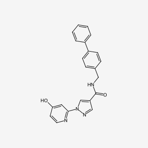 O=C(NCc1ccc(-c2ccccc2)cc1)c1cnn(-c2cc(O)ccn2)c1